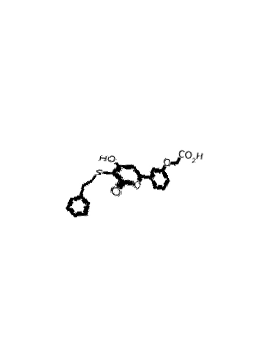 O=C(O)COc1cccc(-c2cc(O)c(SCCc3ccccc3)c(=O)o2)c1